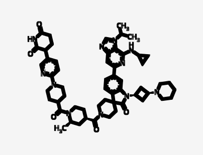 CC(C)n1cnc2cc(-c3ccc4c(c3)N([C@H]3C[C@@H](N5CCCCC5)C3)C(=O)C43CCN(C(=O)[C@@H]4CCN(C(=O)C5CCN(c6ccc(C7CCC(=O)NC7=O)cn6)CC5)[C@H](C)C4)CC3)nc(NC3CC3)c21